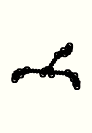 O=C(CCCCCCCCCCOc1ccc(C(=O)Oc2ccc3ccc(=O)oc3c2)cc1)OCC(COC(=O)CCCCCCCCCCOc1ccc(C(=O)Oc2ccc3ccc(=O)oc3c2)cc1)OC(=O)CCCCCCCCCCOc1ccc(C(=O)Oc2ccc3ccc(=O)oc3c2)cc1